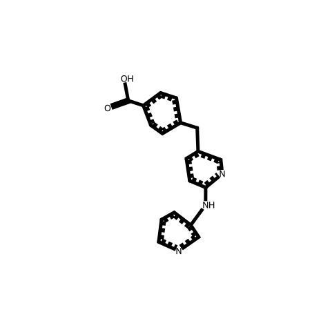 O=C(O)c1ccc(Cc2ccc(Nc3cccnc3)nc2)cc1